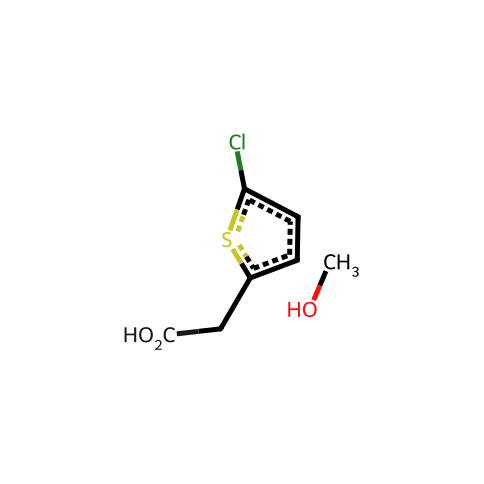 CO.O=C(O)Cc1ccc(Cl)s1